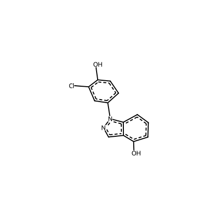 Oc1ccc(-n2ncc3c(O)cccc32)cc1Cl